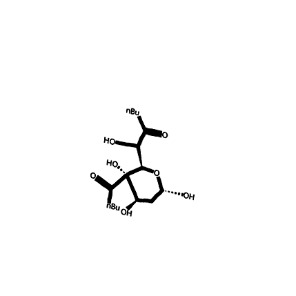 CCCCC(=O)C(O)[C@H]1O[C@H](O)C[C@@H](O)[C@@]1(O)C(=O)CCCC